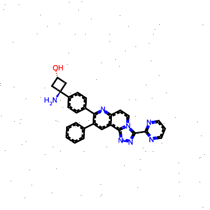 N[C@]1(c2ccc(-c3nc4ccn5c(-c6ncccn6)nnc5c4cc3-c3ccccc3)cc2)C[C@@H](O)C1